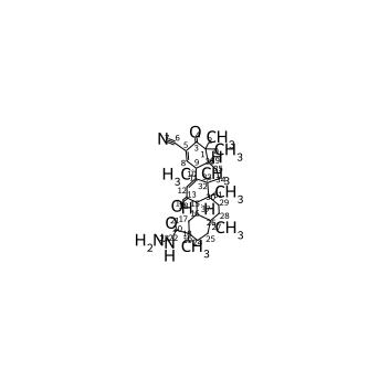 CC1(C)C(=O)C(C#N)=C[C@]2(C)C3=CC(=O)[C@@H]4[C@@H]5C[C@@](C)(C(=O)NN)CC[C@]5(C)CC[C@@]4(C)[C@]3(C)CC[C@@H]12